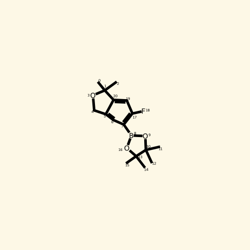 CC1(C)OCc2cc(B3OC(C)(C)C(C)(C)O3)c(F)cc21